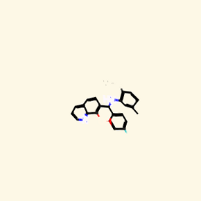 COc1ccc(C)cc1NC(c1ccc(F)cc1)c1ccc2cccnc2c1O